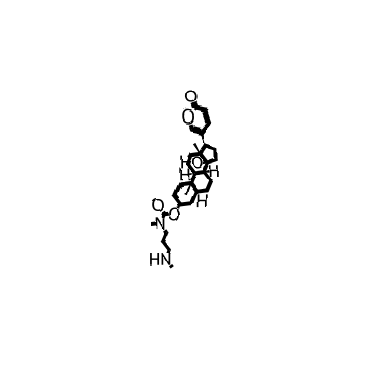 CNCCCN(C)C(=O)O[C@H]1CC[C@@]2(C)[C@H](CC[C@@H]3[C@@H]2CC[C@]2(C)[C@@H](c4ccc(=O)oc4)CC[C@]32O)C1